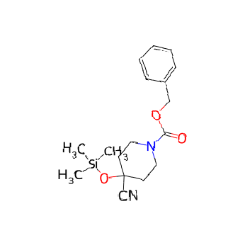 C[Si](C)(C)OC1(C#N)CCN(C(=O)OCc2ccccc2)CC1